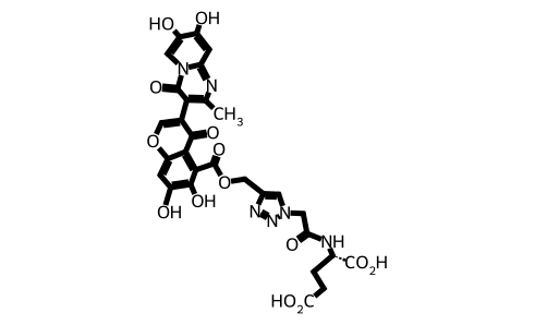 Cc1nc2cc(O)c(O)cn2c(=O)c1-c1coc2cc(O)c(O)c(C(=O)OCc3cn(CC(=O)N[C@@H](CCC(=O)O)C(=O)O)nn3)c2c1=O